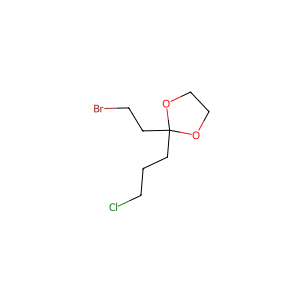 ClCCCC1(CCBr)OCCO1